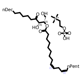 CCCCC/C=C\C/C=C\CCCCCCCC(=O)O[C@@H](CO)[C@H](O)C(=O)CCCCCCCCCCCCCCC.C[N+](C)(C)CCOP(=O)([O-])O